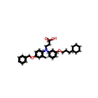 Cc1cc(OCc2ccccc2)ccc1N(CCC(=O)O)c1cccc(OCCCC2CCCCC2)c1